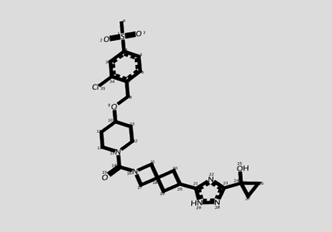 CS(=O)(=O)c1ccc(COC2CCN(C(=O)N3CC4(CC(c5nc(C6(O)CC6)n[nH]5)C4)C3)CC2)c(Cl)c1